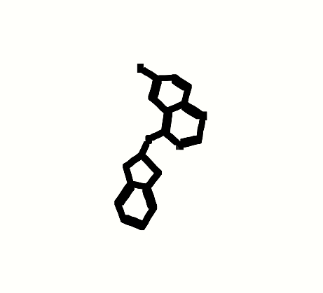 Fc1ccc2ncnc(SC3Cc4ccccc4C3)c2c1